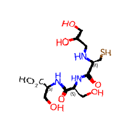 O=C(O)[C@H](CO)NC(=O)[C@H](CO)NC(=O)[C@H](CS)NCC(O)CO